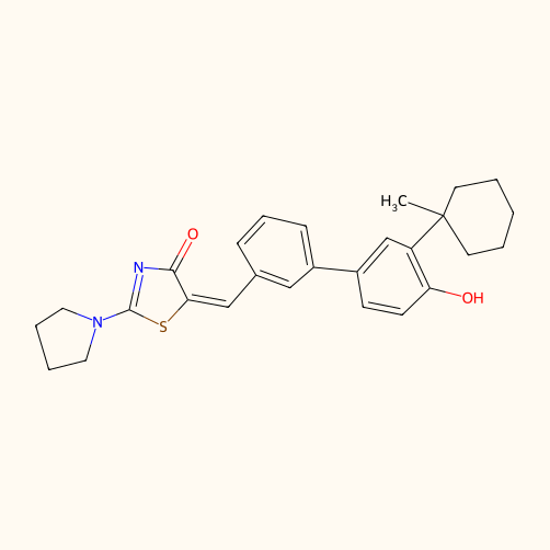 CC1(c2cc(-c3cccc(C=C4SC(N5CCCC5)=NC4=O)c3)ccc2O)CCCCC1